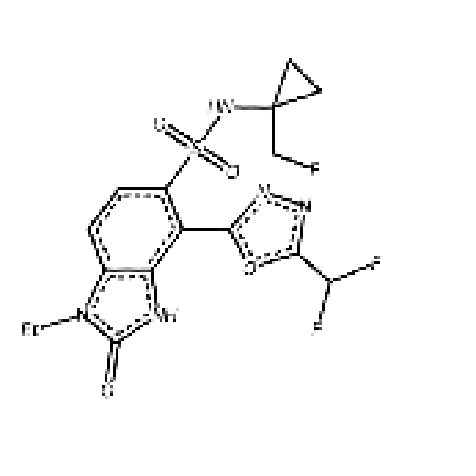 CCn1c(=O)[nH]c2c(-c3nnc(C(F)F)o3)c(S(=O)(=O)NC3(CF)CC3)ccc21